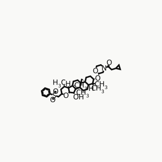 C[C@@H]1CC(CS(=O)(=O)c2ccccc2)OC2[C@H]1[C@@]1(C)CCC34C[C@@]35CC[C@H](O[C@H]3CN(C(=O)CC6CC6)CCO3)C(C)(C)[C@@H]5CCC4[C@]1(C)[C@H]2O